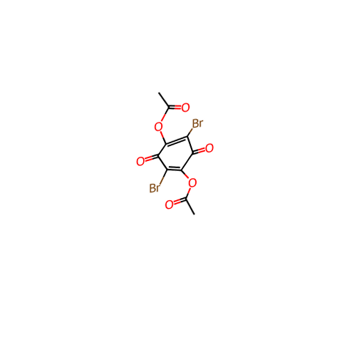 CC(=O)OC1=C(Br)C(=O)C(OC(C)=O)=C(Br)C1=O